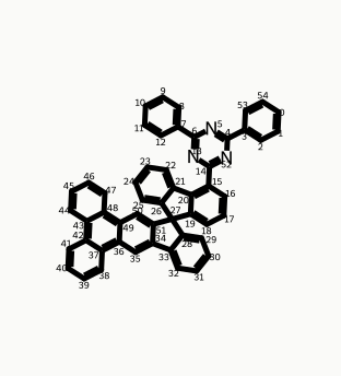 c1ccc(-c2nc(-c3ccccc3)nc(-c3cccc4c3-c3ccccc3C43c4ccccc4-c4cc5c6ccccc6c6ccccc6c5cc43)n2)cc1